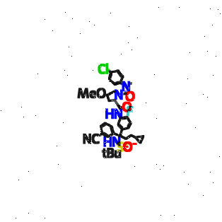 CO[C@@H]1C[C@H](C(=O)Nc2cc(C(CCC3CC3)(N[S+]([O-])C(C)(C)C)c3cccc(C#N)c3)ccc2F)N(C(=O)N(C)c2ccc(Cl)cc2)C1